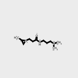 CC1CN1CCC(=O)NCCCN(C)C